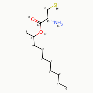 CCCCCCCCC(C)OC(=O)[C@@H](N)CS